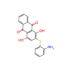 Nc1ccccc1Sc1cc(O)c2c(c1O)C(=O)c1ccccc1C2=O